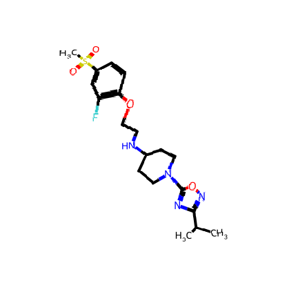 CC(C)c1noc(N2CCC(NCCOc3ccc(S(C)(=O)=O)cc3F)CC2)n1